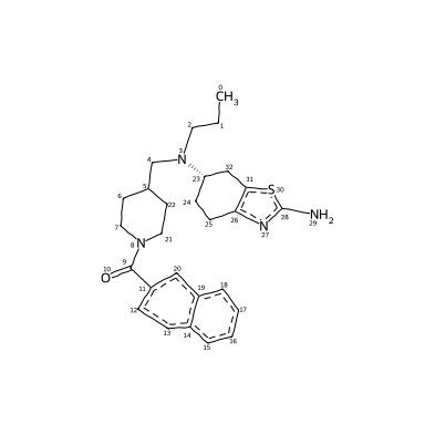 CCCN(CC1CCN(C(=O)c2ccc3ccccc3c2)CC1)[C@H]1CCc2nc(N)sc2C1